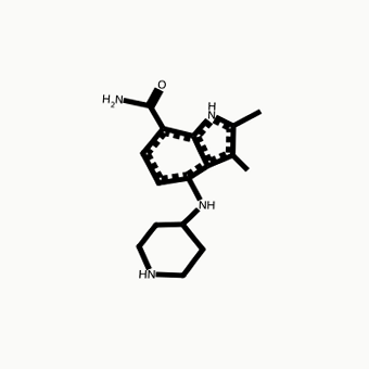 Cc1[nH]c2c(C(N)=O)ccc(NC3CCNCC3)c2c1C